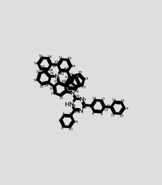 c1ccc(C2=NC(c3ccc(-c4ccccc4)cc3)=NC(n3c4ccccc4c4c5c(ccc43)c3ccccc3n5-c3c(-c4ccccc4)cccc3-c3ccccc3)N2)cc1